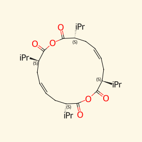 CC(C)[C@@H]1CC=CC[C@@H](C(C)C)C(=O)OC(=O)[C@H](C(C)C)CC=CC[C@@H](C(C)C)C(=O)OC1=O